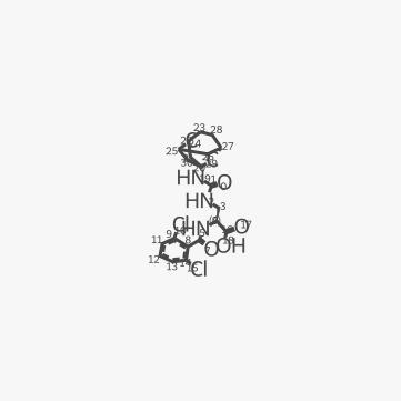 O=C(NC[C@H](NC(=O)c1c(Cl)cccc1Cl)C(=O)O)NC12CCC3CC(CC(C3)C1)C2